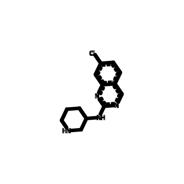 Clc1ccc2cnc(NC3CCCNC3)nc2c1